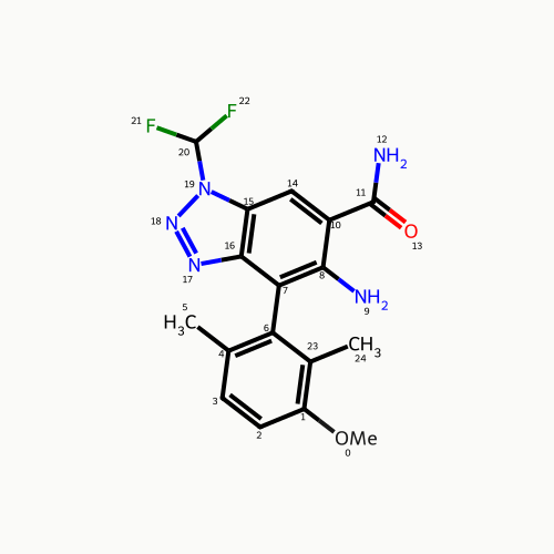 COc1ccc(C)c(-c2c(N)c(C(N)=O)cc3c2nnn3C(F)F)c1C